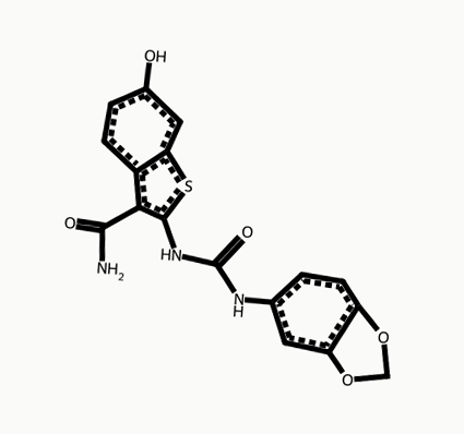 NC(=O)c1c(NC(=O)Nc2ccc3c(c2)OCO3)sc2cc(O)ccc12